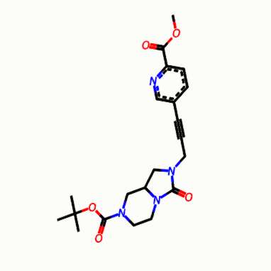 COC(=O)c1ccc(C#CCN2CC3CN(C(=O)OC(C)(C)C)CCN3C2=O)cn1